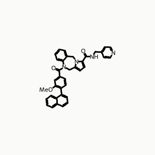 COc1cc(C(=O)N2Cc3ccc(C(=O)NCc4ccncc4)n3Cc3ccccc32)ccc1-c1cccc2ccccc12